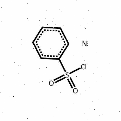 O=S(=O)(Cl)c1ccccc1.[N]